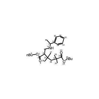 CCCCOC(=O)C(CNC(C)c1ccccc1)C(C)(C)CC(C)(C)C(=O)OCCCC